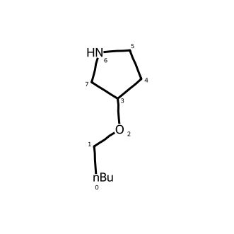 CCCCCOC1CCNC1